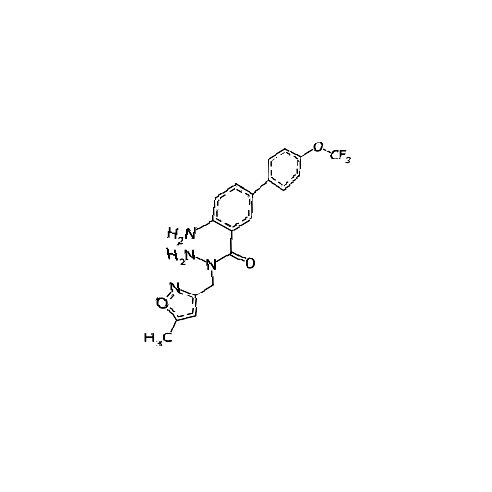 Cc1cc(CN(N)C(=O)c2cc(-c3ccc(OC(F)(F)F)cc3)ccc2N)no1